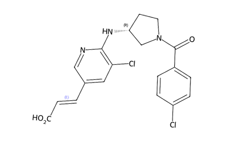 O=C(O)/C=C/c1cnc(N[C@@H]2CCN(C(=O)c3ccc(Cl)cc3)C2)c(Cl)c1